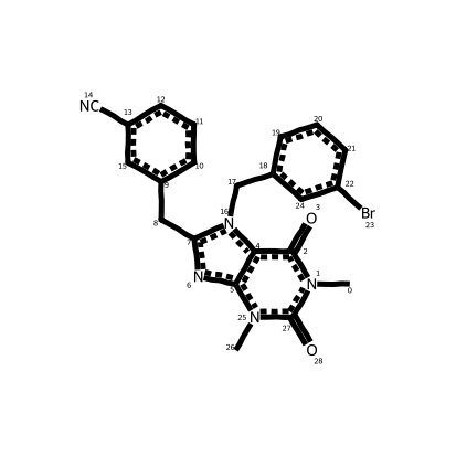 Cn1c(=O)c2c(nc(Cc3cccc(C#N)c3)n2Cc2cccc(Br)c2)n(C)c1=O